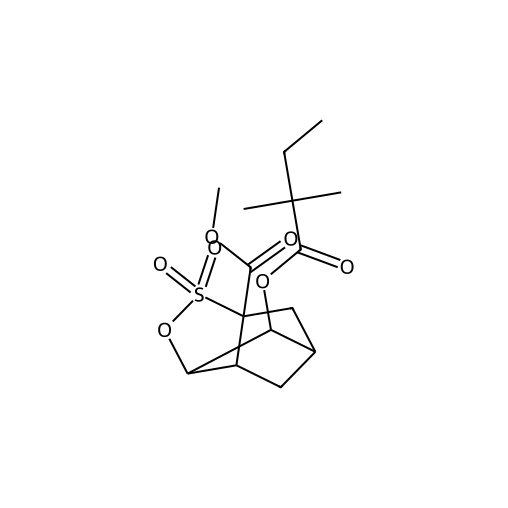 CCC(C)(C)C(=O)OC1C2CC3C1OS(=O)(=O)C3(C(=O)OC)C2